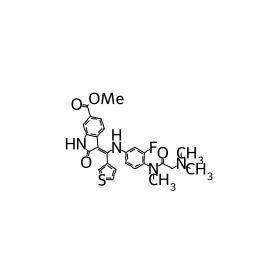 COC(=O)c1ccc2c(c1)NC(=O)C2=C(Nc1ccc(N(C)C(=O)CN(C)C)c(F)c1)c1ccsc1